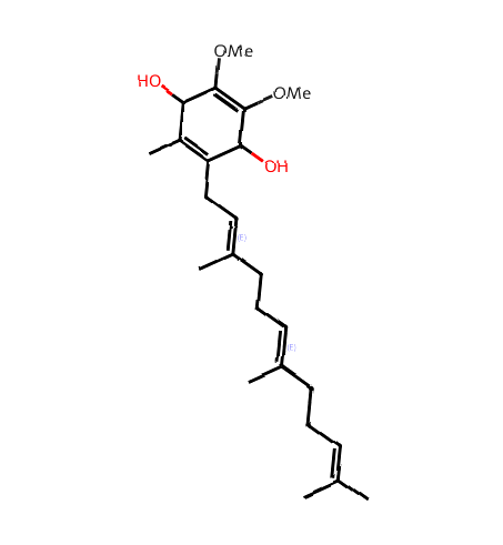 COC1=C(OC)C(O)C(C/C=C(\C)CC/C=C(\C)CCC=C(C)C)=C(C)C1O